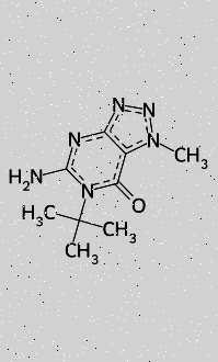 Cn1nnc2nc(N)n(C(C)(C)C)c(=O)c21